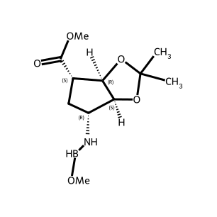 COBN[C@@H]1C[C@H](C(=O)OC)[C@H]2OC(C)(C)O[C@H]21